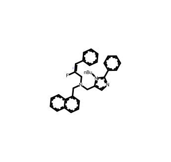 CCCCn1c(CN(C/C(F)=C\c2ccccc2)Cc2cccc3ccccc23)cnc1-c1ccccc1